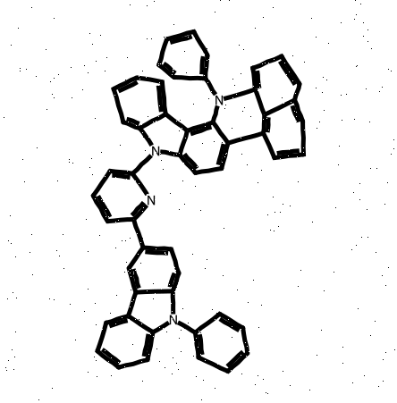 c1ccc(N2c3cccc4cccc(c34)-c3ccc4c(c32)c2ccccc2n4-c2cccc(-c3ccc4c(c3)c3ccccc3n4-c3ccccc3)n2)cc1